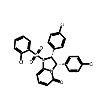 O=c1cccc2n1[C@@H](c1ccc(Cl)cc1)[C@@H](c1ccc(Cl)cc1)N2S(=O)(=O)c1ccccc1Cl